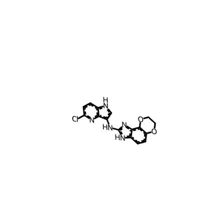 Clc1ccc2[nH]cc(Nc3nc4c5c(ccc4[nH]3)OCCO5)c2n1